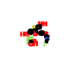 O=C(O)C(F)(F)F.O=C(c1ccc(OC2CN(CCCF)C2)cc1)c1c(-c2ccc(O)cc2)sc2cc(O)ccc12